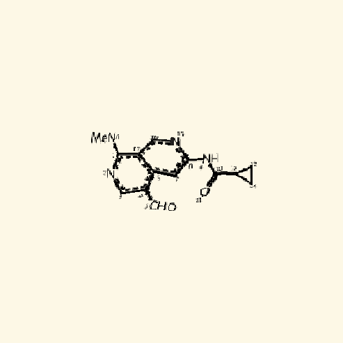 CNc1ncc(C=O)c2cc(NC(=O)C3CC3)ncc12